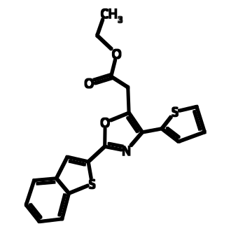 CCOC(=O)Cc1oc(-c2cc3ccccc3s2)nc1-c1cccs1